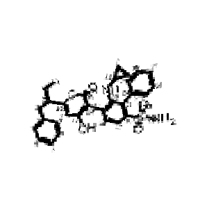 CCC(Cc1ccccc1)c1cc(O)c(-c2ccc(S(N)(=O)=O)c(-c3ccccc3)c2NC2CC2)c(=O)o1